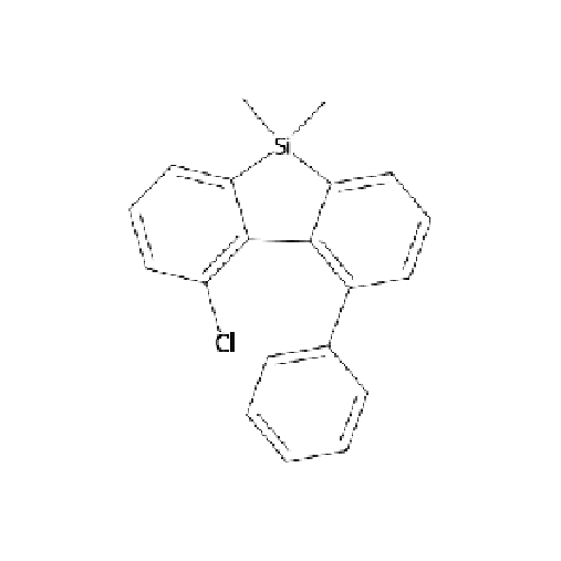 C[Si]1(C)c2cccc(Cl)c2-c2c(-c3ccccc3)cccc21